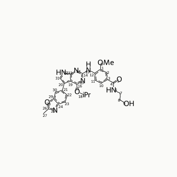 COc1cc(C(=O)NCCO)ccc1Nc1nc(OC(C)C)c2c(-c3ccc4nc(C)oc4c3)c[nH]c2n1